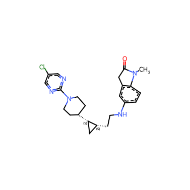 CN1C(=O)Cc2cc(NCC[C@@H]3C[C@@H]3C3CCN(c4ncc(Cl)cn4)CC3)ccc21